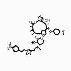 CC[C@H]1OC(=O)[C@H](C)C(=O)[C@H](C)[C@@H](O[C@@H]2O[C@H](C)C[C@H](N(C)CCc3cn(CCc4ccc([N+](=O)[O-])cc4)nn3)[C@H]2O)[C@@]2(C)C[C@@H](CO2)/C(=N\O[C@H]2CC[C@@H](N(C)C)CC2)[C@H](C)[C@@H](O)[C@]1(C)O